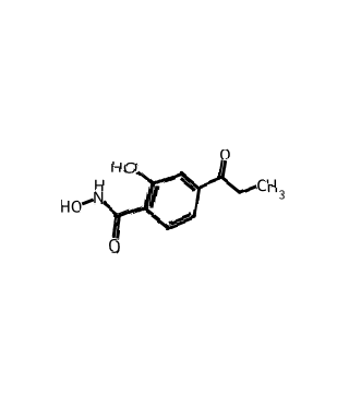 CCC(=O)c1ccc(C(=O)NO)c(O)c1